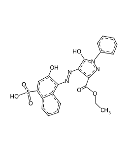 CCOC(=O)c1nn(-c2ccccc2)c(O)c1/N=N/c1c(O)cc(S(=O)(=O)O)c2ccccc12